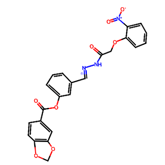 O=C(COc1ccccc1[N+](=O)[O-])N/N=C/c1cccc(OC(=O)c2ccc3c(c2)OCO3)c1